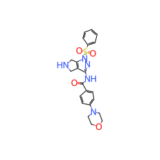 O=C(Nc1nn(S(=O)(=O)c2ccccc2)c2c1CNC2)c1ccc(N2CCOCC2)cc1